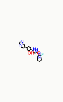 Oc1cc(-c2ccn3ccnc3c2)ccc1-c1ccc(O[C@H]2CC3CCCC(N3)[C@H]2F)nn1